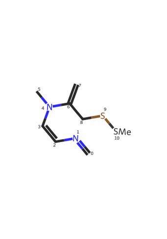 C=N/C=C\N(C)C(=C)CSSC